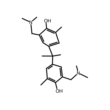 Cc1cc(C(C)(C)c2cc(C)c(O)c(CN(C)C)c2)cc(CN(C)C)c1O